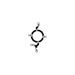 O=C=C(O)CN1CCCNCCN(CP=O)CCCNCC1